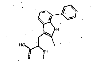 C=C(O)C(Cc1c(C)[nH]c2c(-c3ccncc3)cccc12)NC